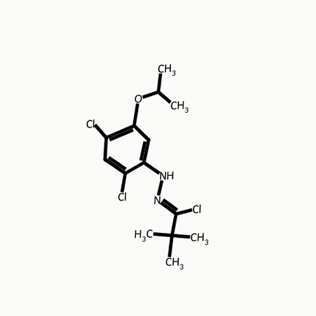 CC(C)Oc1cc(NN=C(Cl)C(C)(C)C)c(Cl)cc1Cl